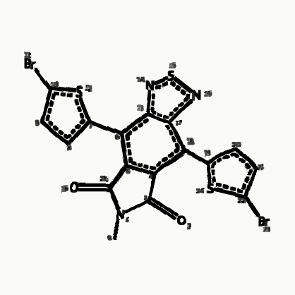 CN1C(=O)c2c(c(-c3ccc(Br)s3)c3nsnc3c2-c2ccc(Br)s2)C1=O